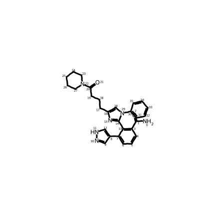 NC(=O)c1cccc(-c2cn[nH]c2)c1-c1nc(CCCC(=O)N2CCCCC2)cn1-c1ccccc1